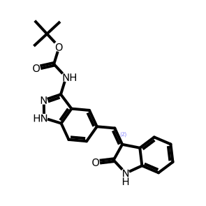 CC(C)(C)OC(=O)Nc1n[nH]c2ccc(/C=C3\C(=O)Nc4ccccc43)cc12